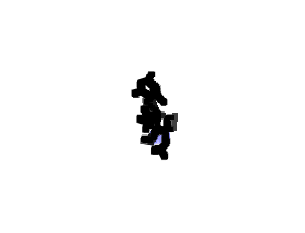 C=C(C)/C=C(Cl)\C(=C\C)[N+]1=CN(c2c(C)cc(C)cc2C)CC1(C)C